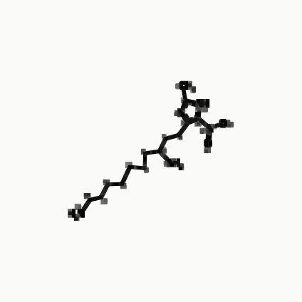 Cc1nc(CCC(N)CCCCCCCN)c([N+](=O)[O-])[nH]1